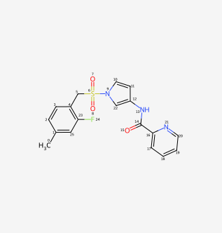 Cc1ccc(CS(=O)(=O)n2ccc(NC(=O)c3ccccn3)c2)c(F)c1